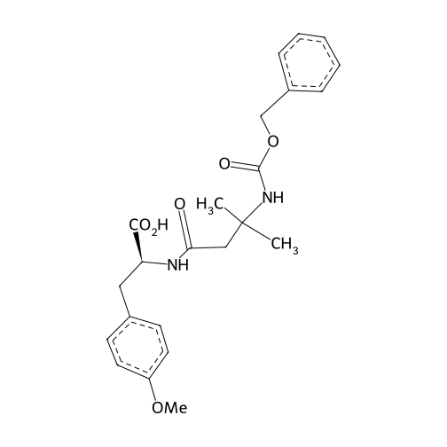 COc1ccc(C[C@H](NC(=O)CC(C)(C)NC(=O)OCc2ccccc2)C(=O)O)cc1